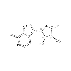 CC[C@H]1O[C@@H](n2cnc3c(=O)[nH]ccc32)[C@H](O)[C@@H]1C